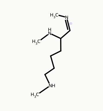 C/N=C\C(CCCCNC)NC